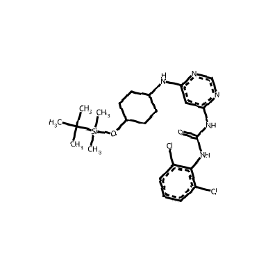 CC(C)(C)[Si](C)(C)OC1CCC(Nc2cc(NC(=O)Nc3c(Cl)cccc3Cl)ncn2)CC1